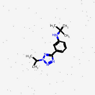 CC(C)n1nnc(-c2cccc(NC(C)(C)C)c2)n1